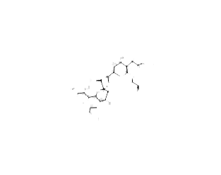 C=CCO[C@H]1OC(CO[C@]2(C(=O)O)C[C@@H](O)[C@@H](CCC)C([C@H](O)[C@H](O)CO)O2)[C@H](O)[C@H](O)C1CCC